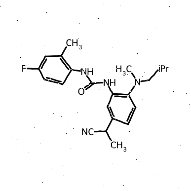 Cc1cc(F)ccc1NC(=O)Nc1cc(C(C)C#N)ccc1N(C)CC(C)C